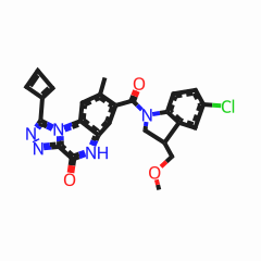 COCC1CN(C(=O)c2cc3[nH]c(=O)c4nnc(C5=CC=C5)n4c3cc2C)c2ccc(Cl)cc21